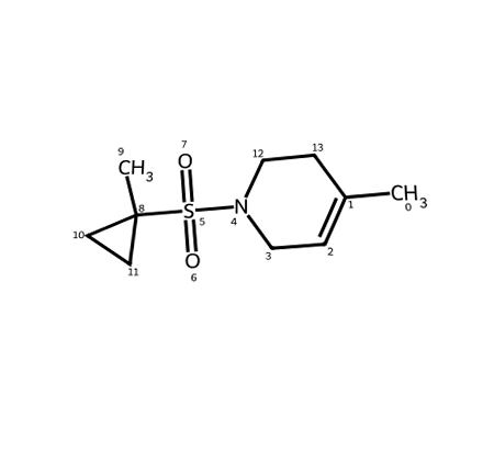 CC1=CCN(S(=O)(=O)C2(C)CC2)CC1